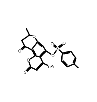 CCCc1cc(=S)oc2c3c(cc(OS(=O)(=O)c4ccc(C)cc4)c12)OC(C)CC3=O